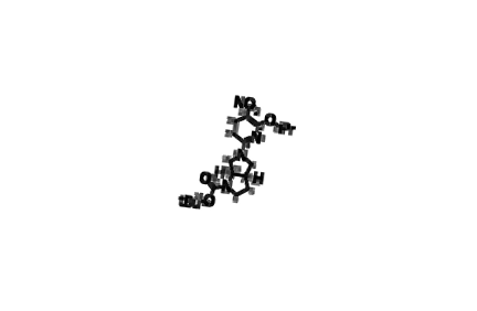 CC(C)Oc1nc(N2C[C@H]3CCN(C(=O)OC(C)(C)C)[C@H]3C2)ccc1[N+](=O)[O-]